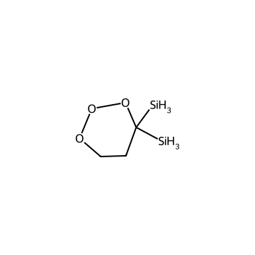 [SiH3]C1([SiH3])CCOOO1